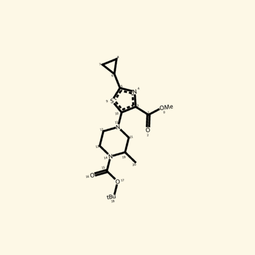 COC(=O)c1nc(C2CC2)sc1N1CCN(C(=O)OC(C)(C)C)C(C)C1